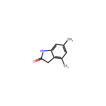 Cc1cc2c(c(C(F)(F)F)c1)CC(=O)N2